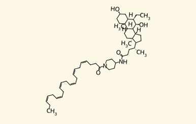 CC/C=C\C/C=C\C/C=C\C/C=C\C/C=C\C/C=C\CCC(=O)N1CCC(NC(=O)CC[C@@H](C)C2CC[C@H]3[C@@H]4[C@H](O)[C@H](CC)[C@@H]5C[C@H](O)CC[C@]5(C)[C@H]4CC[C@]23C)CC1